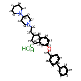 Cl.Cl.c1ccc(-c2ccc(COc3ccc4c(c3)CCC(CCN3CCC(N5CCCCC5)CC3)C4)cc2)cc1